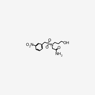 NC(=O)CN(CCCO)S(=O)(=O)Cc1cccc([N+](=O)[O-])c1